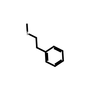 CSCCc1[c]cccc1